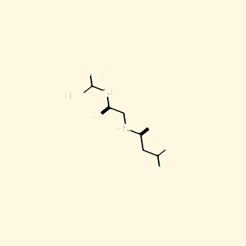 CC(O)CC(=O)NCC(=O)NC(C)C(=O)O